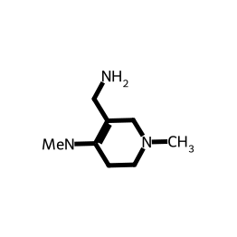 CNC1=C(CN)CN(C)CC1